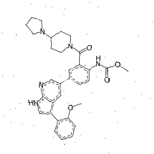 COC(=O)Nc1ccc(-c2cnc3[nH]cc(-c4ccccc4OC)c3c2)cc1C(=O)N1CCC(N2CCCC2)CC1